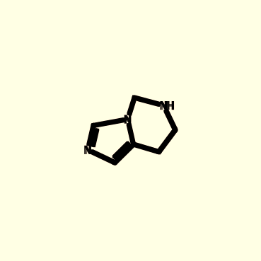 c1ncn2c1CCNC2